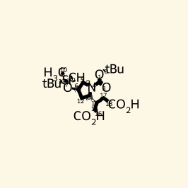 CC(C)(C)OC(=O)N1C[C@H](O[Si](C)(C)C(C)(C)C)C[C@H]1C(CC(=O)O)CC(=O)O